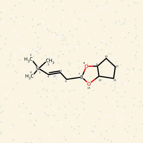 C[Si](C)(C)/C=C/CB1OC2CCCC2O1